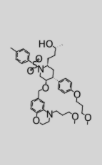 COCCCOc1ccc([C@H]2C[C@H](CC[C@@H](C)O)N(S(=O)(=O)c3ccc(C)cc3)C[C@@H]2OCc2ccc3c(c2)N(CCCOC)CCO3)cc1